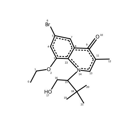 CCOc1cc(Br)cc2c(=O)c(C)cn(C(CO)C(C)(C)C)c12